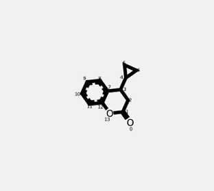 O=C1CC(C2CC2)c2ccccc2O1